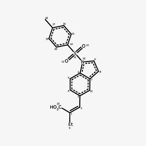 CCC(=Cc1ccc2c(ccn2S(=O)(=O)c2ccc(C)cc2)c1)C(=O)O